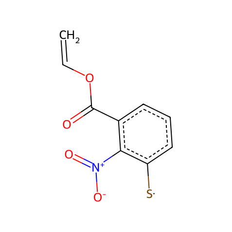 C=COC(=O)c1cccc([S])c1[N+](=O)[O-]